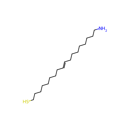 NCCCCCCCCC=CCCCCCCCCS